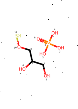 O=P(O)(O)O.OCC(O)COS